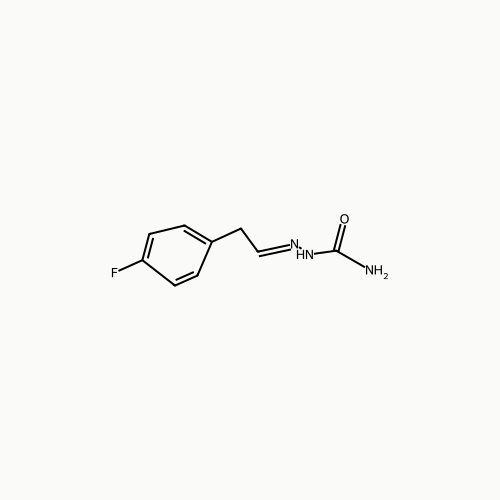 NC(=O)N/N=C/Cc1ccc(F)cc1